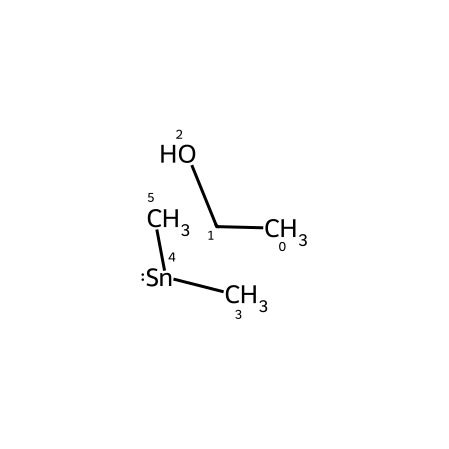 CCO.[CH3][Sn][CH3]